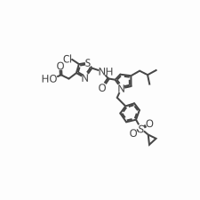 CC(C)Cc1cc(C(=O)Nc2nc(CC(=O)O)c(Cl)s2)n(Cc2ccc(S(=O)(=O)C3CC3)cc2)c1